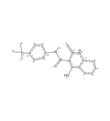 CN(C(=O)c1c(O)c2ccccc2[nH]c1=O)c1ccc(C(C)(C)C)cc1